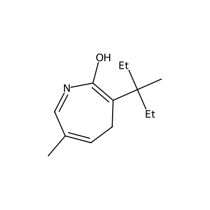 CCC(C)(CC)C1=C(O)N=CC(C)=CC1